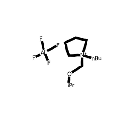 CCCC[N+]1(COC(C)C)CCCC1.[F][Al-]([F])([F])[F]